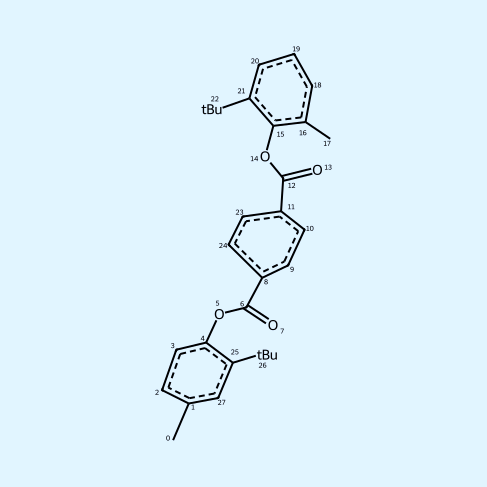 Cc1ccc(OC(=O)c2ccc(C(=O)Oc3c(C)cccc3C(C)(C)C)cc2)c(C(C)(C)C)c1